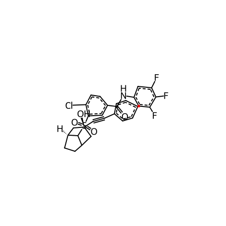 O=C(Nc1cc(F)c(F)c(F)c1)c1ccc(Cl)c(S(=O)(=O)C2C3CC[C@H]2C[C@](O)(C#Cc2ccccc2)C3)c1